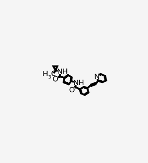 CC1(NC(=O)c2ccc(NC(=O)c3cccc(C#Cc4ccccn4)c3)cc2)CC1